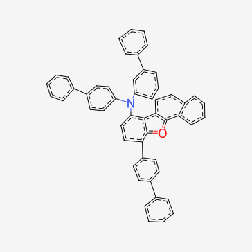 c1ccc(-c2ccc(-c3ccc(N(c4ccc(-c5ccccc5)cc4)c4cccc(-c5ccccc5)c4)c4c3oc3c5ccccc5ccc34)cc2)cc1